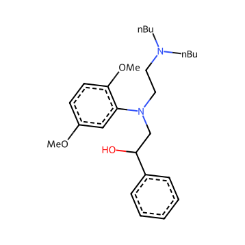 CCCCN(CCCC)CCN(CC(O)c1ccccc1)c1cc(OC)ccc1OC